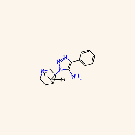 Nc1c(-c2ccccc2)nnn1[C@H]1CN2CCC1CC2